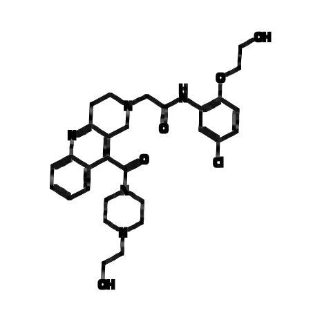 O=C(CN1CCc2nc3ccccc3c(C(=O)N3CCN(CCO)CC3)c2C1)Nc1cc(Cl)ccc1OCCO